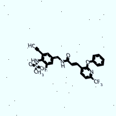 C#Cc1cc(CNC(=O)/C=C/c2ccc(C(F)(F)F)nc2Oc2ccccc2)cc(F)c1NS(C)(=O)=O